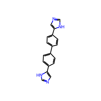 c1ncc(-c2ccc(-c3ccc(-c4cnc[nH]4)cc3)cc2)[nH]1